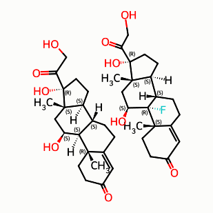 C[C@]12CCC(=O)C=C1CC[C@@H]1[C@@H]2[C@@H](O)C[C@@]2(C)[C@H]1CC[C@]2(O)C(=O)CO.C[C@]12CCC(=O)C=C1CC[C@H]1[C@@H]3CC[C@](O)(C(=O)CO)[C@@]3(C)C[C@H](O)[C@@]12F